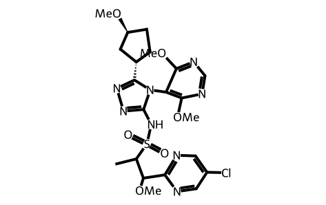 COc1ncnc(OC)c1-n1c(NS(=O)(=O)C(C)C(OC)c2ncc(Cl)cn2)nnc1[C@H]1CC[C@H](OC)C1